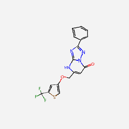 O=c1cc(COc2csc(C(F)(F)F)c2)[nH]c2nc(-c3ccccc3)nn12